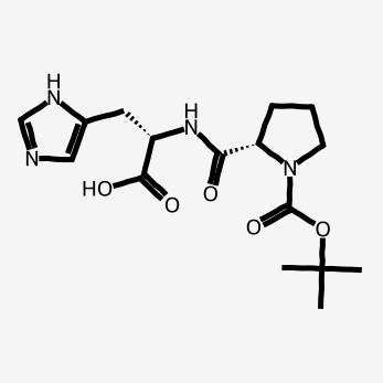 CC(C)(C)OC(=O)N1CCC[C@H]1C(=O)N[C@@H](Cc1cnc[nH]1)C(=O)O